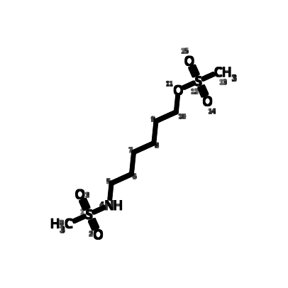 CS(=O)(=O)NCCCCCCOS(C)(=O)=O